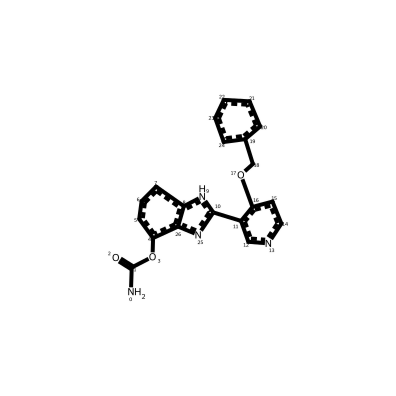 NC(=O)Oc1cccc2[nH]c(-c3cnccc3OCc3ccccc3)nc12